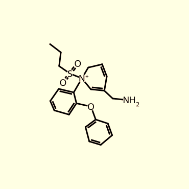 CCCS(=O)(=O)[N+]1(c2ccccc2Oc2ccccc2)C=C(CN)C=CC1